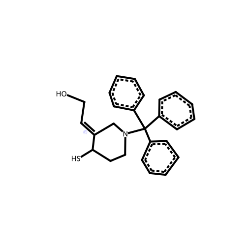 OC/C=C1\CN(C(c2ccccc2)(c2ccccc2)c2ccccc2)CCC1S